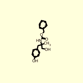 CC(CO)(Cc1ccc(O)cc1)NC(=O)OCc1ccccc1